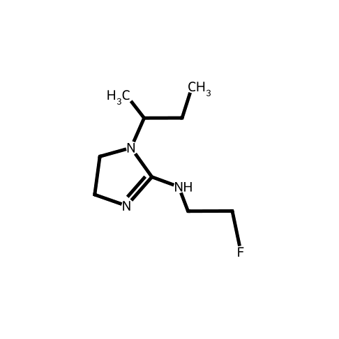 CCC(C)N1CCN=C1NCCF